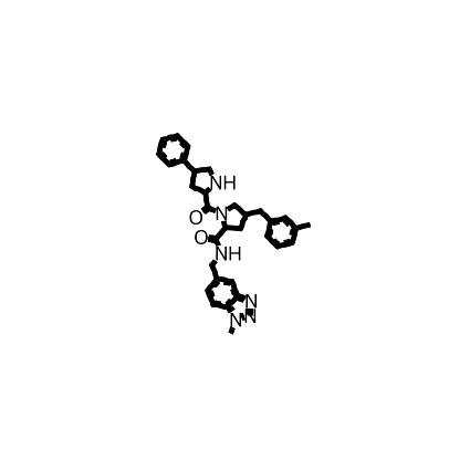 Cc1cccc(CC2CC(C(=O)NCc3ccc4c(c3)nnn4C)N(C(=O)C3CC(c4ccccc4)CN3)C2)c1